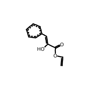 C=COC(=O)C(O)=Cc1ccccc1